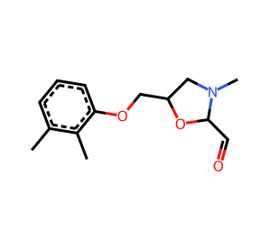 Cc1cccc(OCC2CN(C)C(C=O)O2)c1C